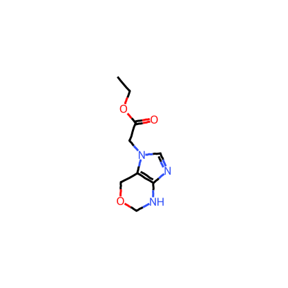 CCOC(=O)Cn1cnc2c1COCN2